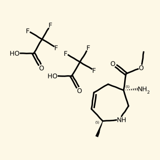 COC(=O)[C@]1(N)CC=C[C@H](C)NC1.O=C(O)C(F)(F)F.O=C(O)C(F)(F)F